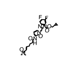 CN(C)C(=O)/C=C/CCCC(=O)Nc1cccn(Cc2nc3cc(F)c(F)cc3n2C(=O)OCC2CC2)c1=O